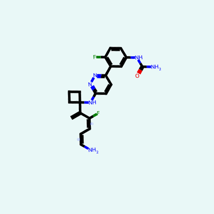 C=C(/C(F)=C\C=C/N)C1(Nc2ccc(-c3cc(NC(N)=O)ccc3F)nn2)CCC1